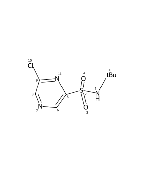 CC(C)(C)NS(=O)(=O)c1cncc(Cl)n1